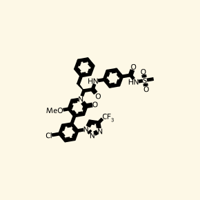 COc1cn([C@@H](Cc2ccccc2)C(=O)Nc2ccc(C(=O)NS(C)(=O)=O)cc2)c(=O)cc1-c1cc(Cl)ccc1-n1cc(C(F)(F)F)nn1